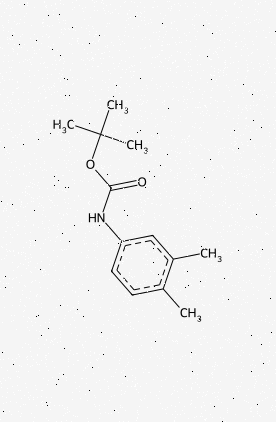 Cc1ccc(NC(=O)OC(C)(C)C)cc1C